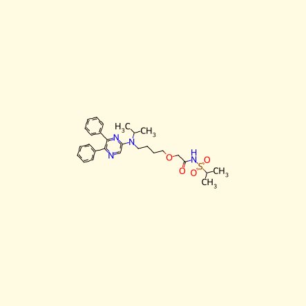 CC(C)N(CCCCOCC(=O)NS(=O)(=O)C(C)C)c1cnc(-c2ccccc2)c(-c2ccccc2)n1